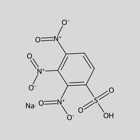 O=[N+]([O-])c1ccc(S(=O)(=O)O)c([N+](=O)[O-])c1[N+](=O)[O-].[Na]